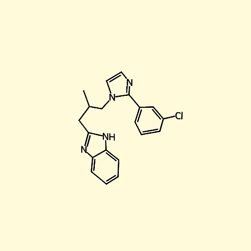 CC(Cc1nc2ccccc2[nH]1)Cn1ccnc1-c1cccc(Cl)c1